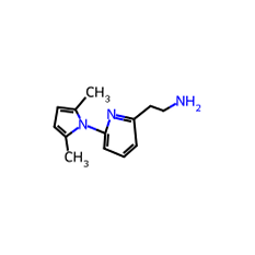 Cc1ccc(C)n1-c1cccc(CCN)n1